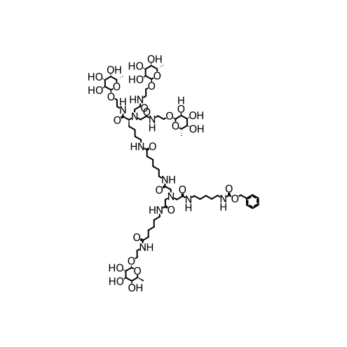 C[C@@H]1O[C@@H](OCCNC(=O)CCCCCNC(=O)CN(CC(=O)NCCCCCNC(=O)OCc2ccccc2)CC(=O)NCCCCCC(=O)NCCCC[C@@H](C(=O)NCCO[C@@H]2O[C@@H](C)[C@@H](O)[C@@H](O)[C@@H]2O)N(CC(=O)NCCO[C@@H]2O[C@@H](C)[C@@H](O)[C@@H](O)[C@@H]2O)CC(=O)NCCO[C@@H]2O[C@@H](C)[C@@H](O)[C@@H](O)[C@@H]2O)[C@@H](O)[C@H](O)[C@@H]1O